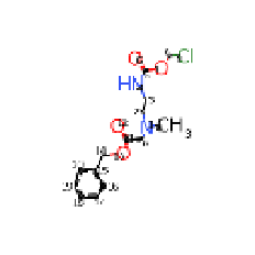 CN(CCNC(=O)OCCl)CC(=O)OCc1ccccc1